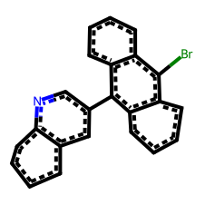 Brc1c2ccccc2c(-c2cnc3ccccc3c2)c2ccccc12